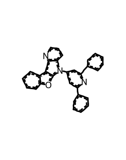 c1ccc(-c2cc(-n3c4cccnc4c4c5ccccc5oc43)cc(-c3ccccc3)n2)cc1